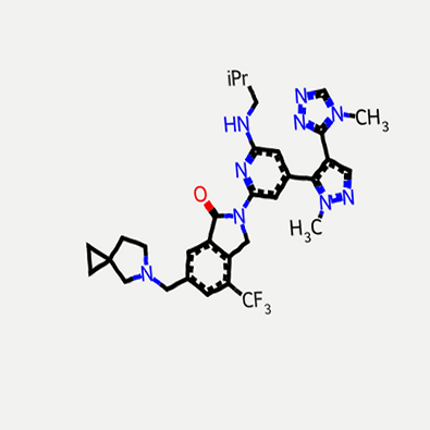 CC(C)CNc1cc(-c2c(-c3nncn3C)cnn2C)cc(N2Cc3c(cc(CN4CCC5(CC5)C4)cc3C(F)(F)F)C2=O)n1